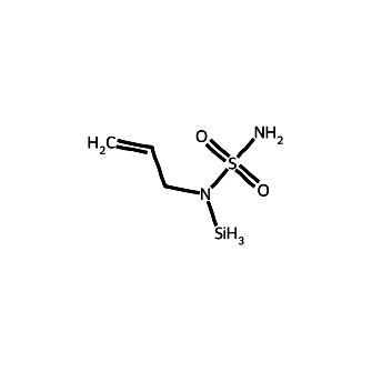 C=CCN([SiH3])S(N)(=O)=O